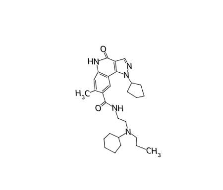 CCCN(CCNC(=O)c1cc2c(cc1C)[nH]c(=O)c1cnn(C3CCCC3)c12)C1CCCCC1